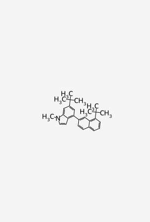 Cn1ccc2c(-c3ccc4cccc(C(C)(C)C)c4c3)cc(C(C)(C)C)cc21